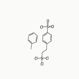 Cc1ccccc1.O=S(=O)(Cl)c1ccc(CC[Si](Cl)(Cl)Cl)cc1